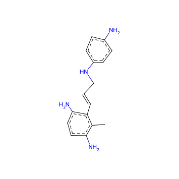 Cc1c(N)ccc(N)c1/C=C/CNc1ccc(N)cc1